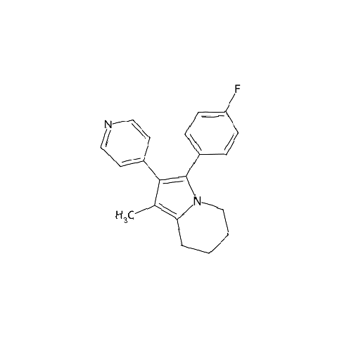 Cc1c(-c2ccncc2)c(-c2ccc(F)cc2)n2c1CCCC2